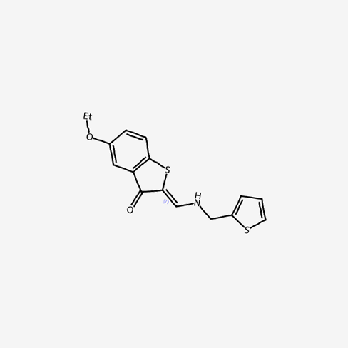 CCOc1ccc2c(c1)C(=O)/C(=C/NCc1cccs1)S2